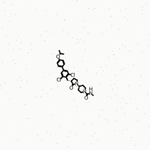 CNC(=O)N1CCC(N2CC[C@@H](Cc3c(Cl)cc(-c4ccc(OC(C)C)cc4)cc3Cl)C2=O)CC1